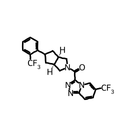 O=C(c1nnc2ccc(C(F)(F)F)cn12)N1C[C@H]2CC(c3ccccc3C(F)(F)F)C[C@H]2C1